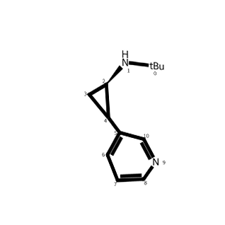 CC(C)(C)N[C@@H]1CC1c1cccnc1